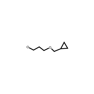 [O]CCCOCC1CC1